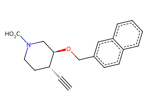 C#C[C@@H]1CCN(C(=O)O)C[C@H]1OCc1ccc2ccccc2c1